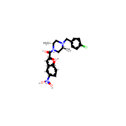 C[C@@H]1CN(Cc2ccc(Cl)cc2)[C@@H](C)CN1C(=O)c1cc2cc([N+](=O)[O-])ccc2o1